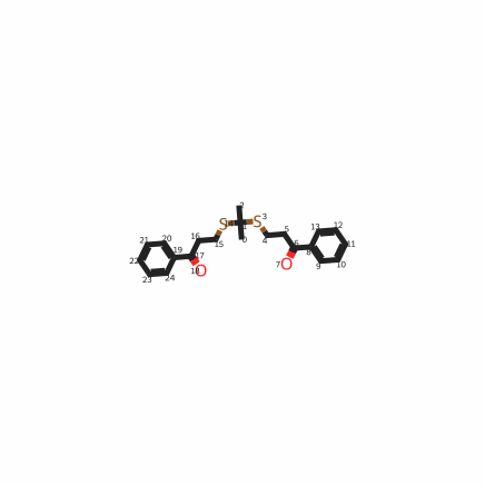 CC(C)(SCCC(=O)c1ccccc1)SCCC(=O)c1ccccc1